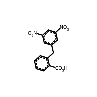 O=C(O)c1ccccc1Cc1cc([N+](=O)[O-])cc([N+](=O)[O-])c1